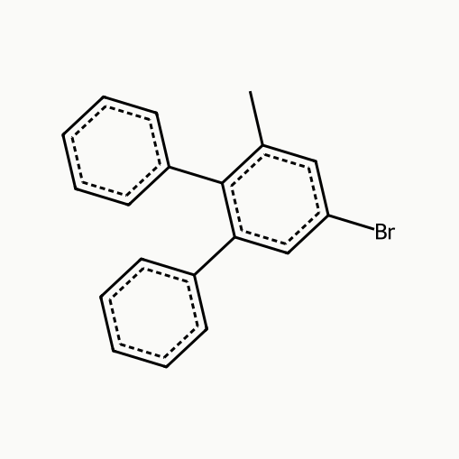 Cc1cc(Br)cc(-c2ccccc2)c1-c1ccccc1